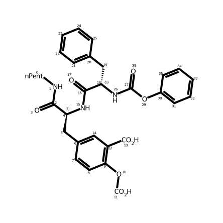 CCCCCNC(=O)[C@H](Cc1ccc(OC(=O)O)c(C(=O)O)c1)NC(=O)[C@H](Cc1ccccc1)NC(=O)Oc1ccccc1